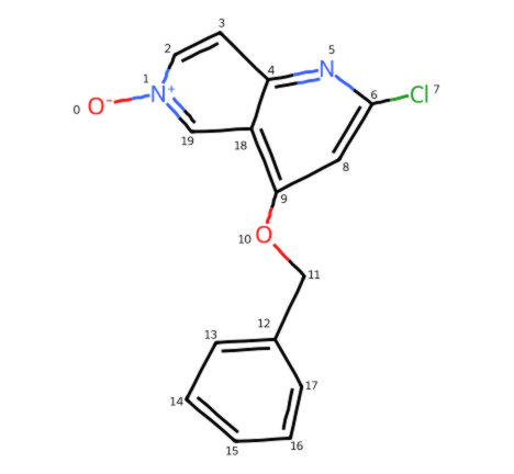 [O-][n+]1ccc2nc(Cl)cc(OCc3ccccc3)c2c1